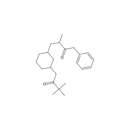 CC(CC1CCCC(CC(=O)C(C)(C)C)C1)C(=O)Cc1ccccc1